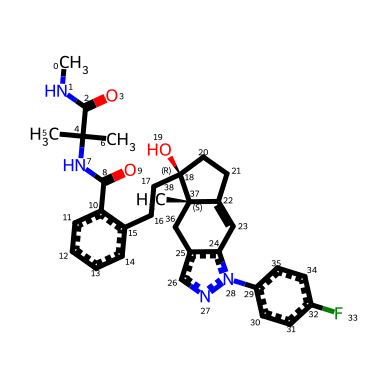 CNC(=O)C(C)(C)NC(=O)c1ccccc1CC[C@]1(O)CCC2=Cc3c(cnn3-c3ccc(F)cc3)C[C@@]21C